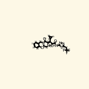 O=C(Nc1nnc(CC(F)(F)F)s1)c1nn2c(c1C1CC1)C(=O)N(Cc1ccccc1Cl)CC2